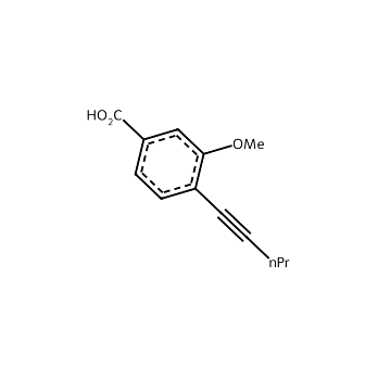 CCCC#Cc1ccc(C(=O)O)cc1OC